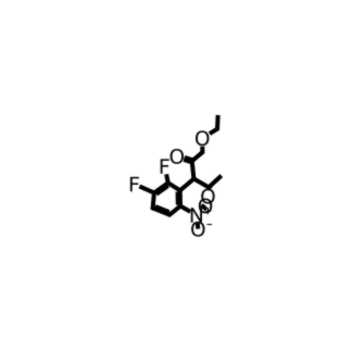 CCOCC(=O)C(C(C)=O)c1c([N+](=O)[O-])ccc(F)c1F